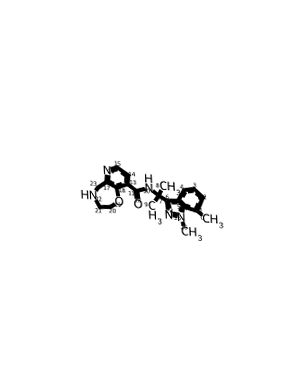 Cc1cccc2c(C(C)(C)NC(=O)c3ccnc4c3OCCNC4)nn(C)c12